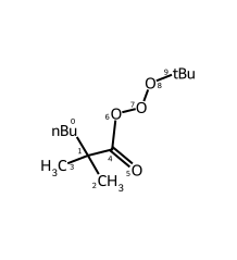 CCCCC(C)(C)C(=O)OOOC(C)(C)C